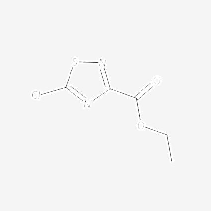 CCOC(=O)c1nsc(Cl)n1